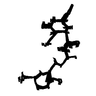 CC(COc1cc(C(F)(F)F)ccc1Cl)NC(=O)c1[nH]c(=O)[nH]c(=O)c1N